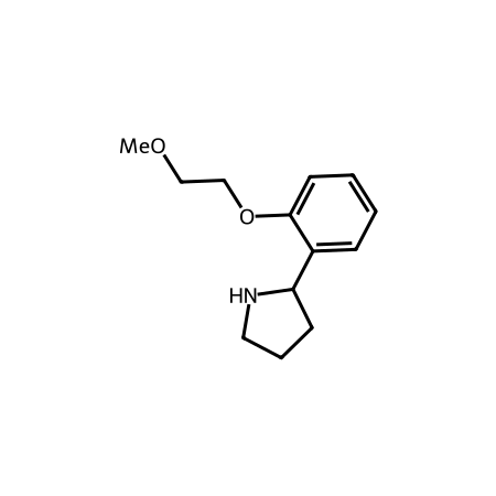 COCCOc1ccccc1C1CCCN1